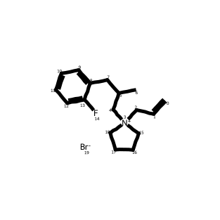 C=CC[N+]1(CC(C)Cc2ccccc2F)CCCC1.[Br-]